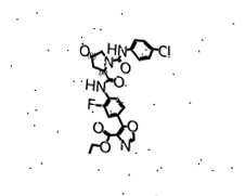 CCOC(=O)c1ncoc1-c1ccc(NC(=O)[C@H]2C[C@@H](OC)CN2C(=O)Nc2ccc(Cl)cc2)c(F)c1